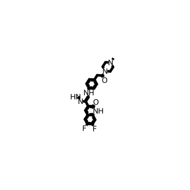 CN1CCN(C(=O)Cc2ccc(N/C=C(\N=N)c3cc4cc(F)c(F)cc4[nH]c3=O)cc2)CC1